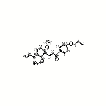 C=CCOc1ccc(C(=O)C=Cc2c(OC(C)C)ccc(CC=C)c2OC(C)C)cc1